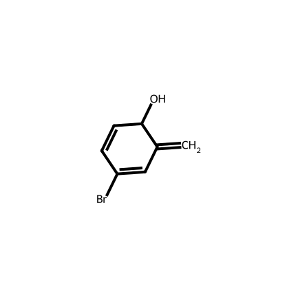 C=C1C=C(Br)C=CC1O